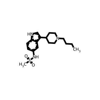 CCCCN1CCC(c2c[nH]c3ccc(NS(C)(=O)=O)cc23)CC1